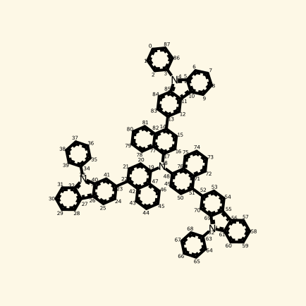 c1ccc(-n2c3ccccc3c3cc(-c4ccc(N(c5ccc(-c6ccc7c8ccccc8n(-c8ccccc8)c7c6)c6ccccc56)c5ccc(-c6ccc7c8ccccc8n(-c8ccccc8)c7c6)c6ccccc56)c5ccccc45)ccc32)cc1